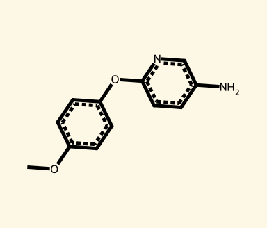 COc1ccc(Oc2ccc(N)cn2)cc1